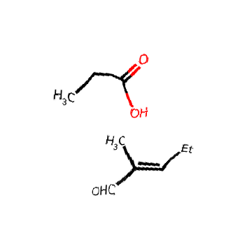 CCC(=O)O.CCC=C(C)C=O